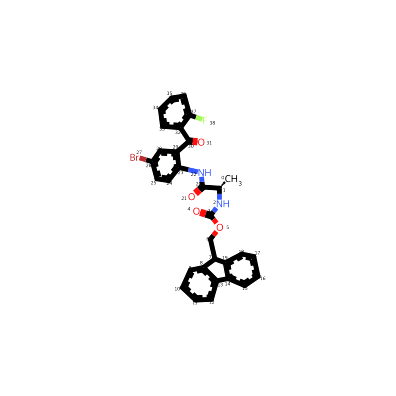 C[C@H](NC(=O)OCC1c2ccccc2-c2ccccc21)C(=O)Nc1ccc(Br)cc1C(=O)c1ccccc1F